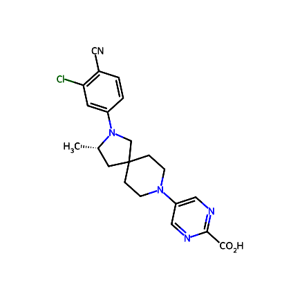 C[C@H]1CC2(CCN(c3cnc(C(=O)O)nc3)CC2)CN1c1ccc(C#N)c(Cl)c1